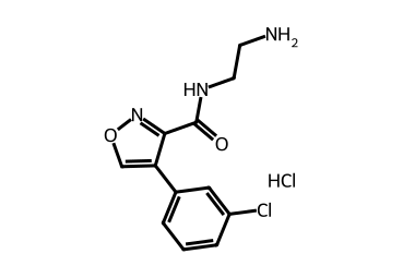 Cl.NCCNC(=O)c1nocc1-c1cccc(Cl)c1